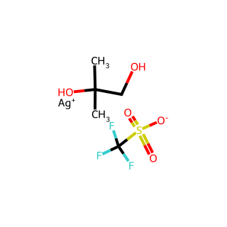 CC(C)(O)CO.O=S(=O)([O-])C(F)(F)F.[Ag+]